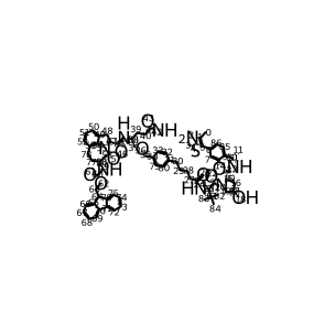 Cc1ncsc1-c1ccc([C@H](C)NC(=O)[C@@H]2C[C@@H](O)CN2C(=O)[C@@H](NC(=O)CCCCc2ccc(COC[C@H](CCC(N)=O)NC(=O)[C@@H]3Cc4cccc5c4N3C(=O)[C@@H](NC(=O)OCC3c4ccccc4-c4ccccc43)CC5)cc2)C(C)(C)C)cc1